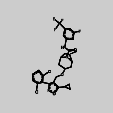 C[C@@H]1CC2C[C@H](OCc3c(-c4c(Cl)cccc4Cl)noc3C3CC3)CC1N2C(=O)Nc1cc(F)cc(C(F)(F)F)c1